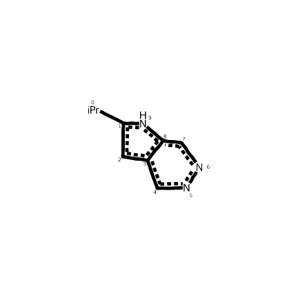 CC(C)c1cc2cnncc2[nH]1